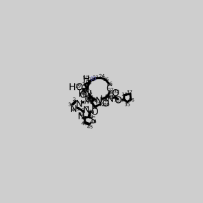 Cn1ccnc1-c1nc(O[C@@H]2C[C@H]3C(=O)N[C@]4(C(=O)O)C[C@H]4/C=C\CCCCC[C@H](NC(=O)OC4CCCC4)C(=O)N3C2)c2sccc2n1